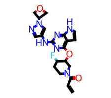 C=CC(=O)N1CCC(F)C(Oc2nc(Nc3cnn(C4COC4)c3)nc3[nH]ccc23)C1